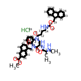 CN[C@@H](C)C(=O)N[C@H]1CN(C(=O)CCCNC(=O)OCC2c3ccccc3-c3ccccc32)c2ccccc2N(Cc2c(OC)ccc3cc(C(=O)OC)ccc23)C1=O.Cl